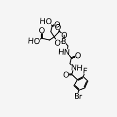 O=C(O)CC1(CC(=O)O)OB(CNC(=O)CNC(=O)c2cc(Br)ccc2F)OC1=O